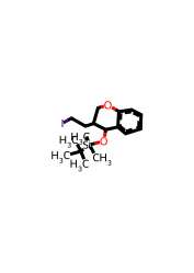 CC(C)(C)[Si](C)(C)OC1c2ccccc2OCC1CCI